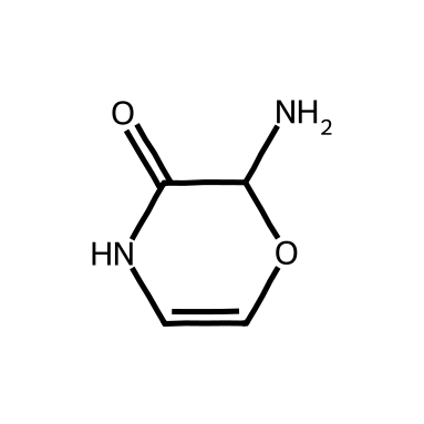 NC1OC=CNC1=O